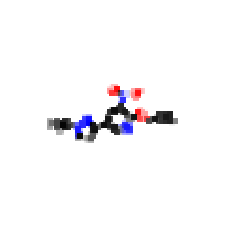 CCOc1ncc(-c2ccn(C)n2)cc1[N+](=O)[O-]